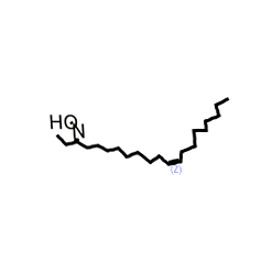 CCCCCCCC/C=C\CCCCCCCCC(CC)=NO